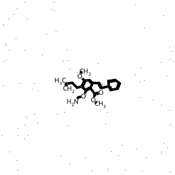 C=C(C)CCc1c(OC)cc(/C=C/c2ccccc2)c(C(=O)OC)c1OCN